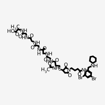 CC(=O)NC(CSC1CC(=O)N(CCCC(=O)Nc2c(Br)cc(Br)cc2CNC2CCCCC2)C1=O)C(=O)NCC(=O)NCC(=O)NCC(=O)NCC(=O)NCC(=O)NC(C)C(=O)O